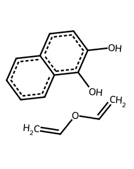 C=COC=C.Oc1ccc2ccccc2c1O